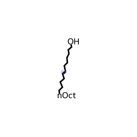 CCCCCCCCCCCC/C=C/CCCCCCO